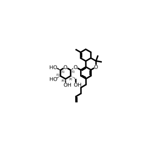 C=CCCCc1cc(O[C@H]2O[C@H](O)[C@@H](O)[C@H](O)[C@H]2CO)c2c(c1)OC(C)(C)C1CCC(C)=CC21